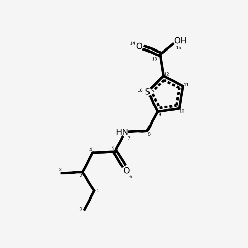 CCC(C)CC(=O)NCc1ccc(C(=O)O)s1